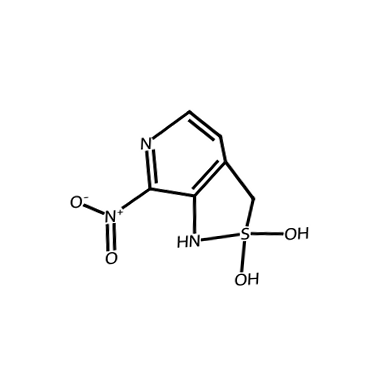 O=[N+]([O-])c1nccc2c1NS(O)(O)C2